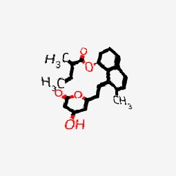 CCC(C)C(=O)O[C@@H]1CCC=C2C=CC(C)C(CCC3CC(O)CC(=O)O3)C21